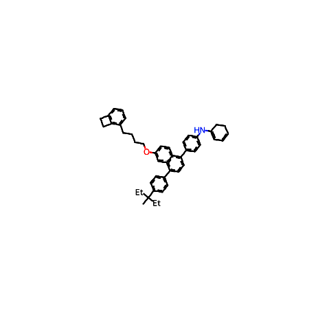 CCC(C)(CC)c1ccc(-c2ccc(-c3ccc(NC4=CC=CCC4)cc3)c3ccc(OCCCCc4cccc5c4CC5)cc23)cc1